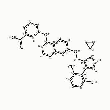 O=C(O)c1cccc(Oc2cccc3cc(OCc4c(-c5c(Cl)cccc5Cl)noc4C4CC4)ccc23)n1